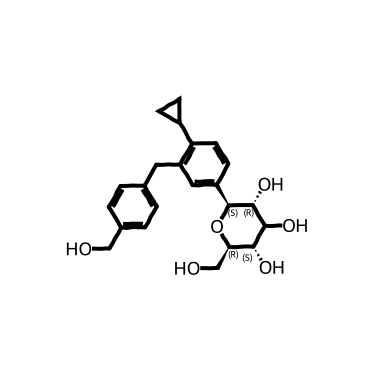 OCc1ccc(Cc2cc([C@@H]3O[C@H](CO)[C@@H](O)C(O)[C@H]3O)ccc2C2CC2)cc1